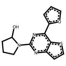 OC1CCCN1c1nc(-c2ccco2)c2sccc2n1